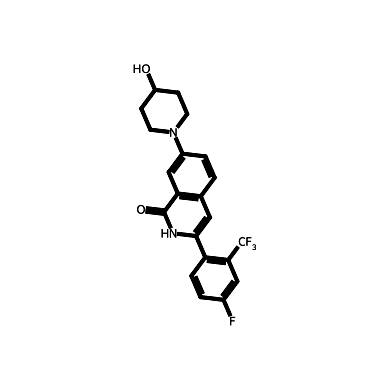 O=c1[nH]c(-c2ccc(F)cc2C(F)(F)F)cc2ccc(N3CCC(O)CC3)cc12